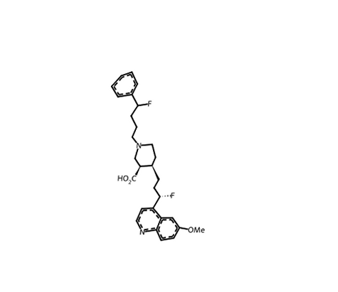 COc1ccc2nccc([C@@H](F)CC[C@@H]3CCN(CCCC(F)c4ccccc4)C[C@@H]3C(=O)O)c2c1